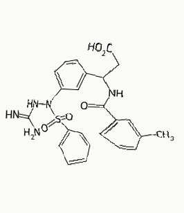 Cc1cccc(C(=O)NC(CC(=O)O)c2cccc(N(NC(=N)N)S(=O)(=O)c3ccccc3)c2)c1